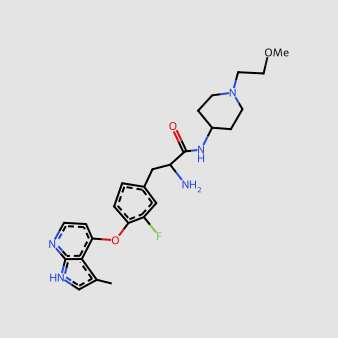 COCCN1CCC(NC(=O)C(N)Cc2ccc(Oc3ccnc4[nH]cc(C)c34)c(F)c2)CC1